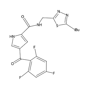 CCC(C)c1nnc(CNC(=O)c2cc(C(=O)c3c(F)cc(F)cc3F)c[nH]2)s1